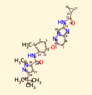 Cc1ccc(Oc2ccc3nc(NC(=O)C4CC4)cn3n2)cc1NC(=O)c1cc(C(C)(C)C)nn1C